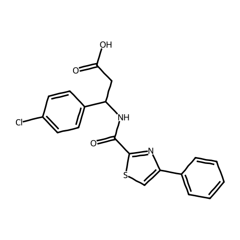 O=C(O)CC(NC(=O)c1nc(-c2ccccc2)cs1)c1ccc(Cl)cc1